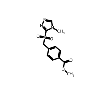 COC(=O)c1ccc(CS(=O)(=O)c2nncn2C)cc1